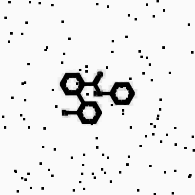 O=C(Nc1ccccc1)c1ccccc1-c1ccccc1Br